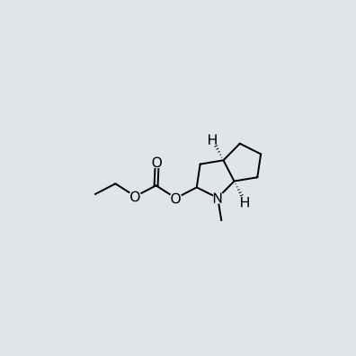 CCOC(=O)OC1C[C@H]2CCC[C@H]2N1C